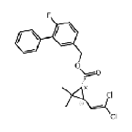 CC1(C)[C@H](C=C(Cl)Cl)[C@H]1C(=O)OCc1ccc(F)c(-c2ccccc2)c1